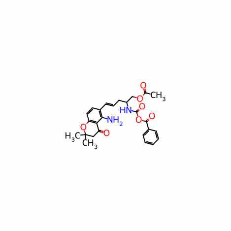 CC(=O)OCC(CC=Cc1ccc2c(c1N)C(=O)CC(C)(C)O2)NC(=O)OC(=O)c1ccccc1